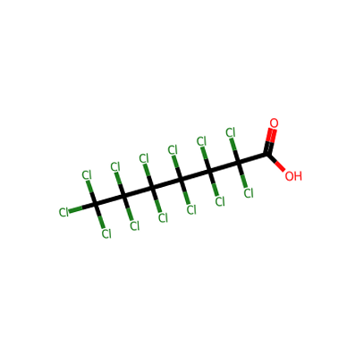 O=C(O)C(Cl)(Cl)C(Cl)(Cl)C(Cl)(Cl)C(Cl)(Cl)C(Cl)(Cl)C(Cl)(Cl)Cl